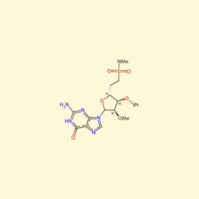 CNS(=O)(=O)CC[C@H]1OC(n2cnc3c(=O)[nH]c(N)nc32)[C@H](OC)[C@@H]1OC(C)C